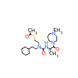 CC(=O)SCCN(CCC1CCCCC1)C(=O)N[C@@H](C)C(=O)N1CCCN(C)CC1